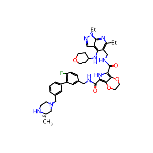 CCc1nc2c(cnn2CC)c(NC2CCOCC2)c1CNC(=O)c1[nH]c(C(=O)NCc2ccc(F)c(-c3cccc(CN4CCN[C@@H](C)C4)c3)c2)c2c1OCCO2